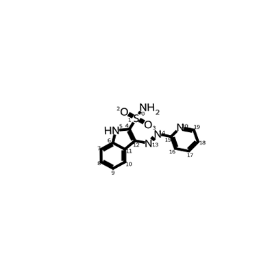 NS(=O)(=O)c1[nH]c2ccccc2c1N=Nc1ccccn1